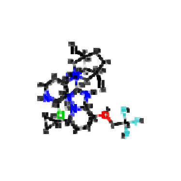 FC(F)(F)COc1ccc(C2CC2)n2nc(NC3[C@@H]4CC[C@H]3CN(c3ccnc(Cl)c3)C4)nc12